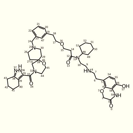 O=C1COc2c(CCNCCN(C(=O)CCOCCc3cccc(CN4CCC5(CC4)CN(C(=O)c4[nH]nc6c4CCCC6)CCO5)c3)C3CCCCC3)ccc(O)c2N1